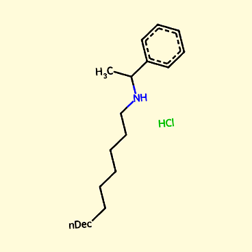 CCCCCCCCCCCCCCCCNC(C)c1ccccc1.Cl